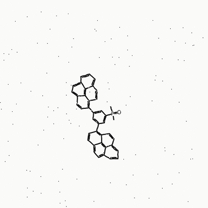 CP(C)(=O)c1cc(-c2ccc3ccc4cccc5ccc2c3c45)cc(-c2ccc3ccc4cccc5ccc2c3c45)c1